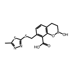 Cc1nnc(SCc2ccc3c(c2C(=O)O)OB(O)CC3)s1